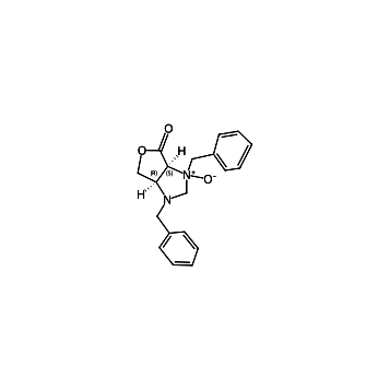 O=C1OC[C@H]2[C@@H]1[N+]([O-])(Cc1ccccc1)CN2Cc1ccccc1